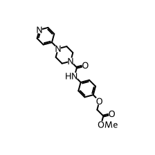 COC(=O)COc1ccc(NC(=O)N2CCN(c3ccncc3)CC2)cc1